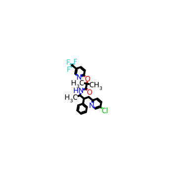 CC(NC(=O)C(C)(C)Oc1ccc(C(F)(F)F)cn1)C(Cc1ccc(Cl)cn1)c1ccccc1